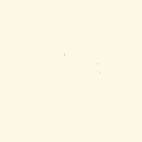 Cc1ccc(/N=N/c2c(O)c(C(=O)OCC(O)C3OC(=O)C(O)=C3O)cc3ccccc23)cc1